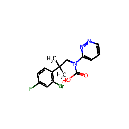 CC(C)(CN(C(=O)O)c1cccnn1)c1ccc(F)cc1Br